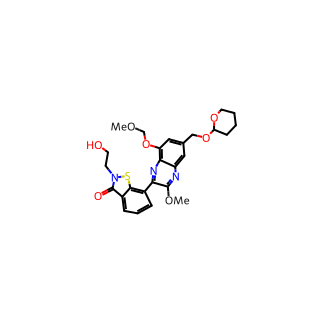 COCOc1cc(COC2CCCCO2)cc2nc(OC)c(-c3cccc4c(=O)n(CCO)sc34)nc12